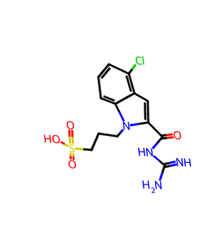 N=C(N)NC(=O)c1cc2c(Cl)cccc2n1CCCS(=O)(=O)O